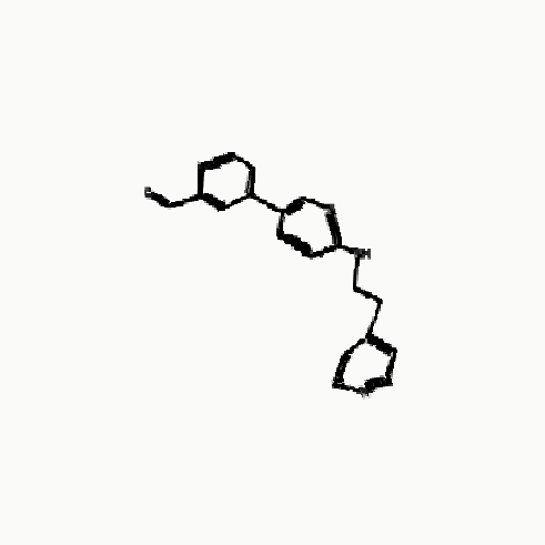 O=Cc1cccc(-c2ccc(NCCc3ccncc3)nc2)c1